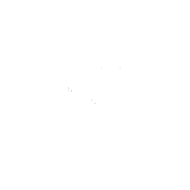 CCOC(=O)c1cc(C#N)c(N2CCOCC2)s1